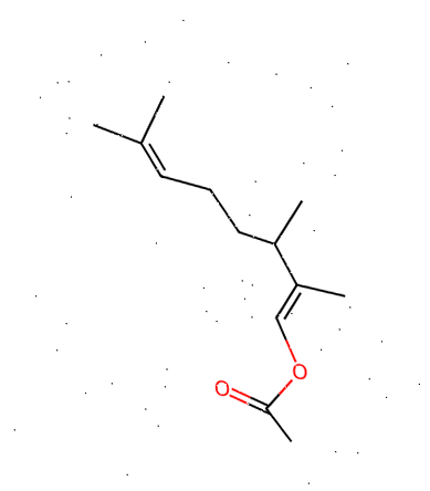 CC(=O)O/C=C(\C)C(C)CCC=C(C)C